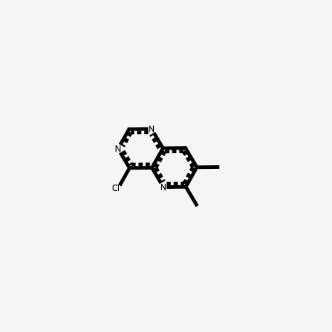 Cc1cc2ncnc(Cl)c2nc1C